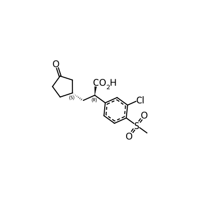 CS(=O)(=O)c1ccc([C@@H](C[C@@H]2CCC(=O)C2)C(=O)O)cc1Cl